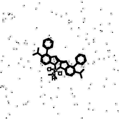 CC1=Cc2c(ccc(C(C)C)c2-c2ccccc2)[CH]1[Zr]([Cl])([Cl])([CH]1C(C)=Cc2c1ccc(C(C)C)c2-c1ccccc1)[SiH](C)C